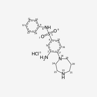 Cl.Nc1cc(S(=O)(=O)Nc2ccccc2)ccc1N1CCCNCC1